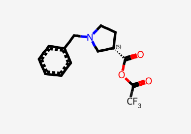 O=C(OC(=O)C(F)(F)F)[C@H]1CCN(Cc2ccccc2)C1